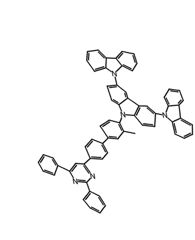 Cc1cc(-c2ccc(-c3cc(-c4ccccc4)nc(-c4ccccc4)n3)cc2)ccc1-n1c2ccc(-n3c4ccccc4c4ccccc43)cc2c2cc(-n3c4ccccc4c4ccccc43)ccc21